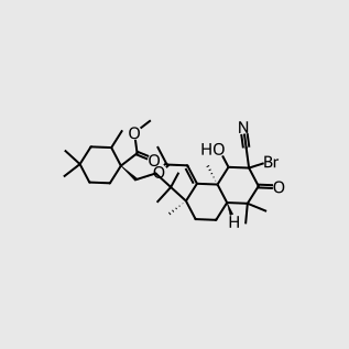 COC(=O)[C@]1(CCC(C)(C)[C@]2(C)CC[C@H]3C(C)(C)C(=O)C(Br)(C#N)C(O)[C@]3(C)/C2=C/C(C)=O)CCC(C)(C)CC1C